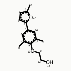 Cc1ccc(-c2cc(C)c(OCCO)c(C)c2)o1